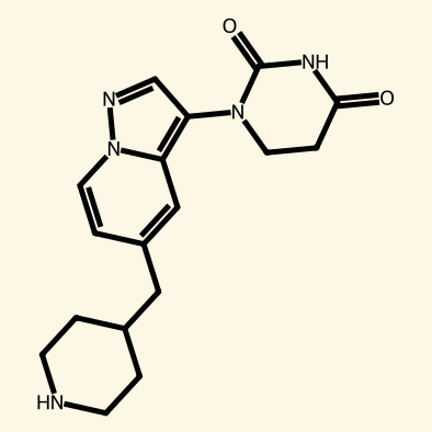 O=C1CCN(c2cnn3ccc(CC4CCNCC4)cc23)C(=O)N1